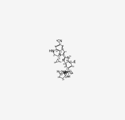 Cn1c(-c2cc3cc(C#N)cc4c3n2[C@H](C2CC2)CN4)nc2cc(C(=O)N3C[C@H]4CC[C@@H]3[C@@H]4N)cc(F)c21